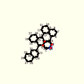 c1cncc(-c2cccc3cccc(-c4c5ccccc5c(-c5ccc6ccccc6c5)c5ccccc45)c23)c1